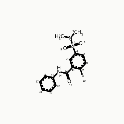 CN(C)S(=O)(=O)c1ccc(F)c(C(=O)Nc2ccccc2)c1